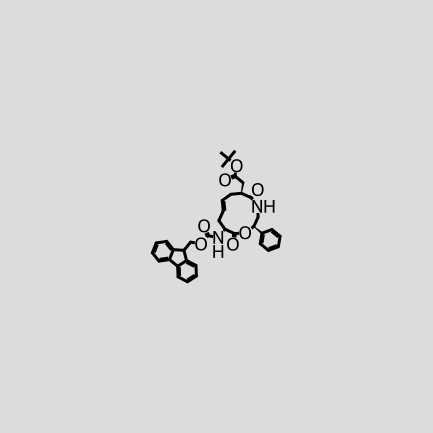 CC(C)(C)OC(=O)C[C@@H]1C/C=C/C[C@H](NC(=O)OCC2c3ccccc3-c3ccccc32)C(=O)O[C@H](c2ccccc2)CNC1=O